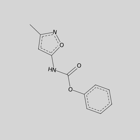 Cc1cc(NC(=O)Oc2ccccc2)on1